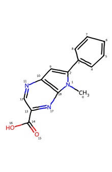 Cn1c(-c2ccccc2)cc2ncc(C(=O)O)nc21